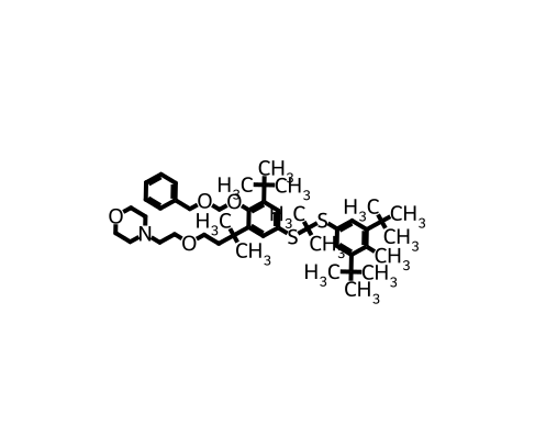 Cc1c(C(C)(C)C)cc(SC(C)(C)Sc2cc(C(C)(C)C)c(OCOCc3ccccc3)c(C(C)(C)CCOCCN3CCOCC3)c2)cc1C(C)(C)C